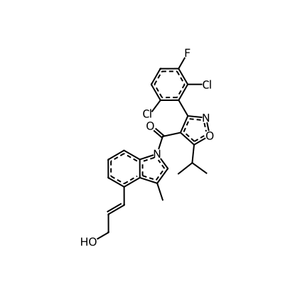 Cc1cn(C(=O)c2c(-c3c(Cl)ccc(F)c3Cl)noc2C(C)C)c2cccc(/C=C/CO)c12